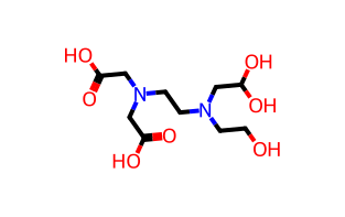 O=C(O)CN(CCN(CCO)CC(O)O)CC(=O)O